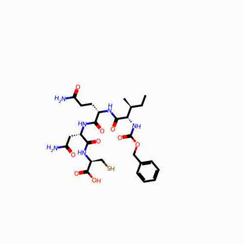 CC[C@H](C)[C@H](NC(=O)OCc1ccccc1)C(=O)N[C@@H](CCC(N)=O)C(=O)N[C@@H](CC(N)=O)C(=O)N[C@@H](CS)C(=O)O